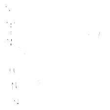 CCCc1cc(F)c(N=[N+]=[N-])c(N=[N+]=[N-])c1